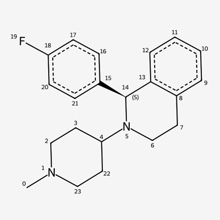 CN1CCC(N2CCc3ccccc3[C@@H]2c2ccc(F)cc2)CC1